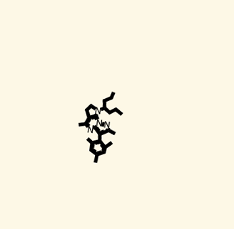 CCCC(CCC)N1CCc2c(C)nc3c(-c4c(C)cc(C)cc4C)c(C)nn3c21